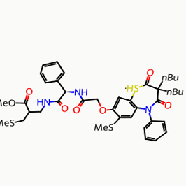 CCCCC1(CCCC)C(=O)[SH]c2cc(OCC(=O)N[C@@H](C(=O)NCC(CSC)C(=O)OC)c3ccccc3)c(SC)cc2N(c2ccccc2)C1=O